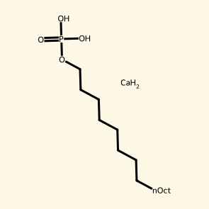 CCCCCCCCCCCCCCCCOP(=O)(O)O.[CaH2]